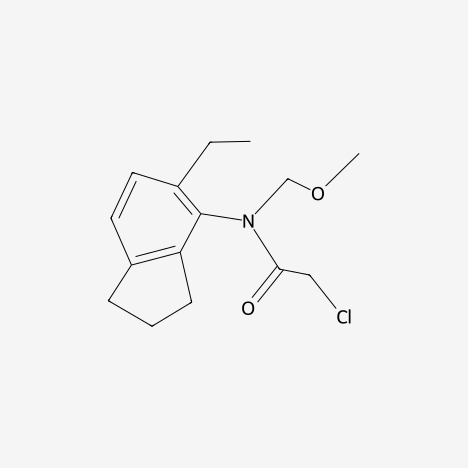 CCc1ccc2c(c1N(COC)C(=O)CCl)CCC2